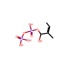 CC=C(C)C(O)OP(=O)(O)OP(=O)(O)O